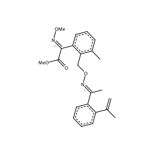 C=C(C)c1ccccc1/C(C)=N/OCc1c(C)cccc1/C(=N\OC)C(=O)OC